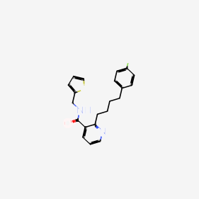 O=C(NCc1cccs1)c1cccnc1CCCCc1ccc(F)cc1